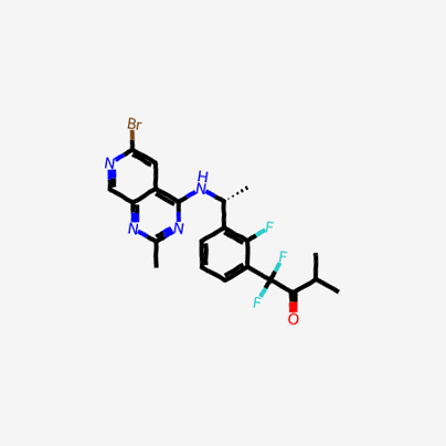 Cc1nc(N[C@H](C)c2cccc(C(F)(F)C(=O)C(C)C)c2F)c2cc(Br)ncc2n1